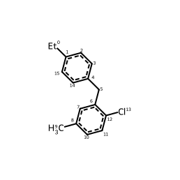 CCc1ccc(Cc2cc(C)ccc2Cl)cc1